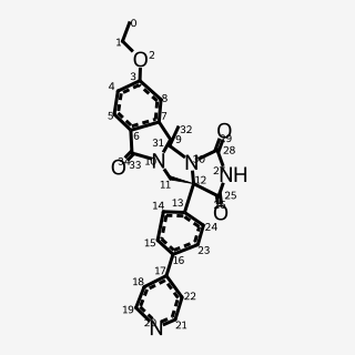 CCOc1ccc2c(c1)CN(C[C@]1(c3ccc(-c4ccncc4)cc3)C(=O)NC(=O)N1CC)C2=O